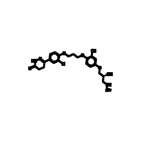 CCCNC[C@@H](O)COc1ccc(OCCCOc2ccc(C3=NNC(=O)CC3)cc2Cl)c(C#N)c1